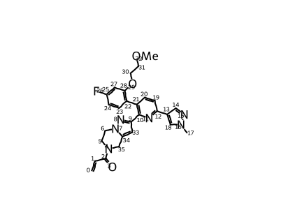 C=CC(=O)N1CCn2nc(-c3nc(-c4cnn(C)c4)ccc3-c3ccc(F)cc3OCCOC)cc2C1